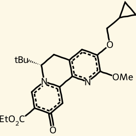 CCOC(=O)c1cn2c(cc1=O)-c1nc(OC)c(OCC3CC3)cc1C[C@H]2C(C)(C)C